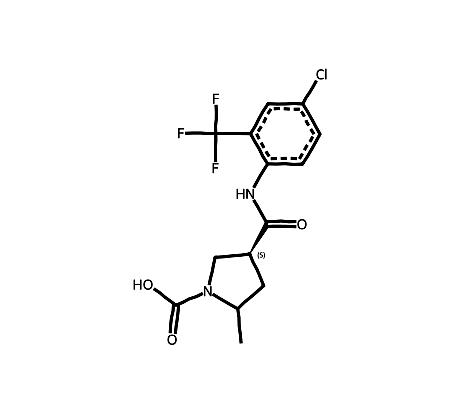 CC1C[C@H](C(=O)Nc2ccc(Cl)cc2C(F)(F)F)CN1C(=O)O